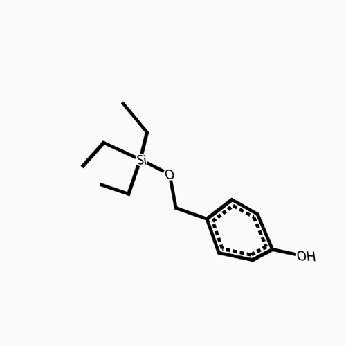 CC[Si](CC)(CC)OCc1ccc(O)cc1